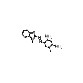 Cc1cc(N=Nc2sc3ccccc3[n+]2C)c(N)cc1N